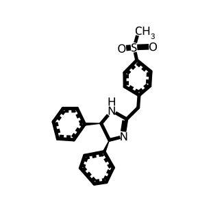 CS(=O)(=O)c1ccc(CC2=N[C@@H](c3ccccc3)[C@@H](c3ccccc3)N2)cc1